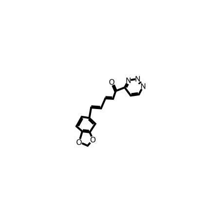 O=C(C=CC=Cc1ccc2c(c1)OCO2)c1ccnnn1